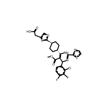 COC(=O)C1=C([C@H]2CC[C@H](c3nc(CC(=O)O)co3)CC2)NC(c2nccs2)=NC1c1ccc(F)c(F)c1Cl